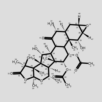 CC(=O)O[C@H]1C2C(C(=O)[C@H](N)[C@H]3C[C@@H]4O[C@@H]4[C@H](O)[C@]23C)[C@@H]2[C@@H](O)[C@@H]3[C@H]([C@H](C)O[C@@]4(C)OC(=O)[C@@](C)(O)[C@]34C)[C@@]2(C)[C@H]1OC(C)=O